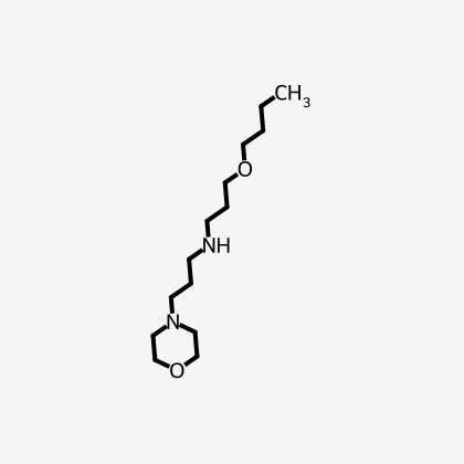 CCCCOCCCNCCCN1CCOCC1